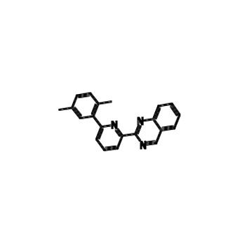 Cc1ccc(C)c(-c2cccc(-c3ncc4ccccc4n3)n2)c1